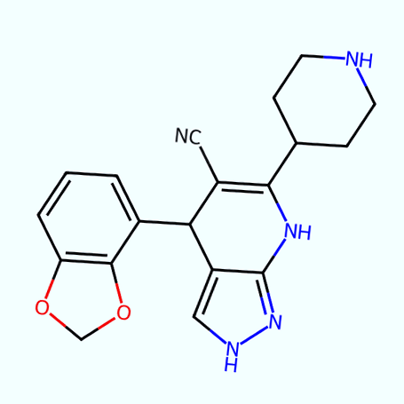 N#CC1=C(C2CCNCC2)Nc2n[nH]cc2C1c1cccc2c1OCO2